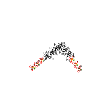 O=P([O-])([O-])F.O=P([O-])([O-])F.O=P([O-])([O-])F.O=P([O-])([O-])F.O=P([O-])([O-])F.O=P([O-])([O-])F.[CH3][U+2]([CH3])([CH3])[CH3].[CH3][U+2]([CH3])([CH3])[CH3].[CH3][U+2]([CH3])([CH3])[CH3].[CH3][U+2]([CH3])([CH3])[CH3].[CH3][U+2]([CH3])([CH3])[CH3].[CH3][U+2]([CH3])([CH3])[CH3]